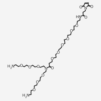 NCCOCCOCCOCCN(CCOCCOCCOCCN)C(=O)CCOCCOCCOCCOCCOCCOCCNC(=O)CCN1C(=O)C=CC1=O